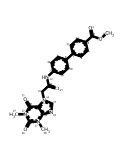 COC(=O)c1ccc(-c2ccc(NC(=O)Cn3cnc4c3c(=O)n(C)c(=O)n4C)cc2)cc1